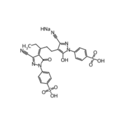 CCC(CCc1c(C#N)nn(-c2ccc(S(=O)(=O)O)cc2)c1O)=C1C(=O)N(c2ccc(S(=O)(=O)O)cc2)N=C1C#N.[NaH]